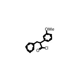 COc1cccc(C(Cc2ccccc2)C(=O)Cl)c1